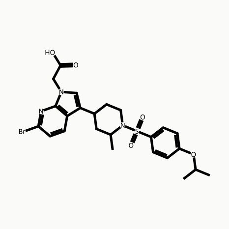 CC(C)Oc1ccc(S(=O)(=O)N2CCC(c3cn(CC(=O)O)c4nc(Br)ccc34)CC2C)cc1